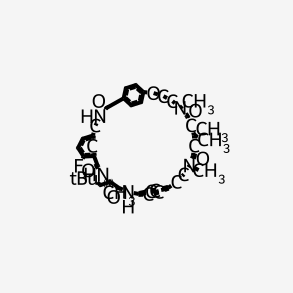 CN1CCOc2ccc(cc2)C(=O)NCc2ccc(F)c(c2)C(=O)N[C@](C)(CC(C)(C)C)C(=O)Nc2ccc(cc2)CCN(C)C(=O)CC(C)(C)CC1=O